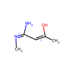 C/N=C(N)\C=C(\C)O